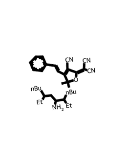 CC1(C)OC(=C(C#N)C#N)C(C#N)=C1C=Cc1ccccc1.CCCCC(CC)CC(N)C(CC)CCCC